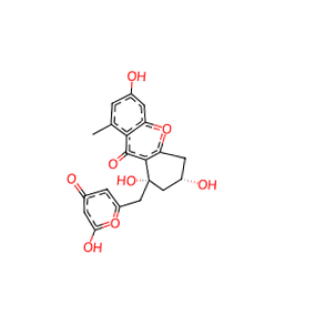 Cc1cc(O)cc2oc3c(c(=O)c12)[C@](O)(Cc1cc(=O)cc(O)o1)C[C@@H](O)C3